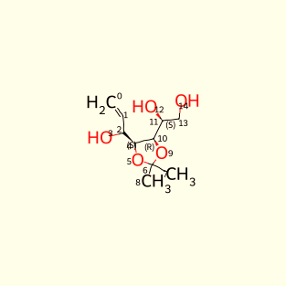 C=CC(O)[C@@H]1OC(C)(C)O[C@@H]1[C@@H](O)CO